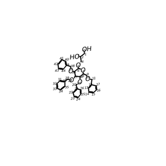 OCC(O)COC1OC(COCc2ccccc2)C(OCc2ccccc2)C(OCc2ccccc2)C1OCc1ccccc1